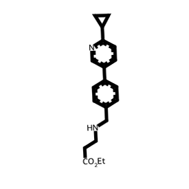 CCOC(=O)CCNCc1ccc(-c2ccc(C3CC3)nc2)cc1